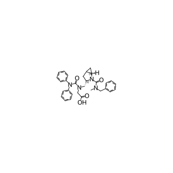 CN(Cc1ccccc1)C(=O)N1[C@H](CN(CC(=O)O)C(=O)N(c2ccccc2)c2ccccc2)CC2C[C@@H]21